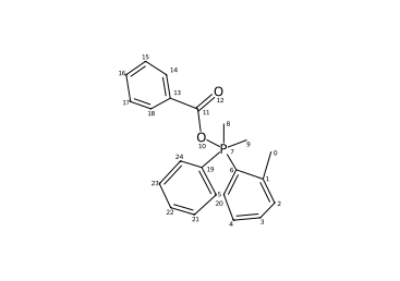 Cc1ccccc1P(C)(C)(OC(=O)c1ccccc1)c1ccccc1